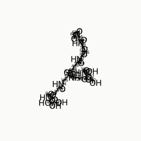 CC(=O)NC1[C@H](OCCCCC(=O)NCCCC[C@H](NC(=O)CCCCOC2OC(CO)C[C@H](O)[C@@H]2NC(C)=O)C(=O)NCCCCCC(=O)NCCOC(C)(C)OCCNC(=O)CCN2C(=O)C=CC2=O)OC(CO)C(O)[C@@H]1O